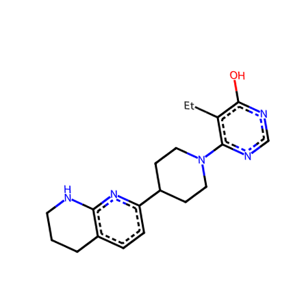 CCc1c(O)ncnc1N1CCC(c2ccc3c(n2)NCCC3)CC1